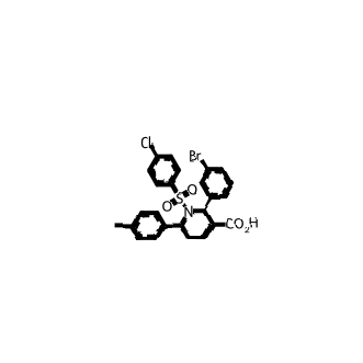 Cc1ccc(C2CC=C(C(=O)O)[C@H](c3cccc(Br)c3)N2S(=O)(=O)c2ccc(Cl)cc2)cc1